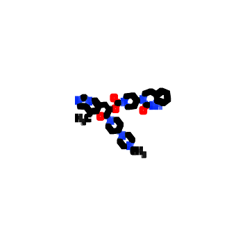 Cc1cc(C[C@@H](OC(=O)N2CCC(N3CCc4ccccc4NC3=O)CC2)C(=O)N2CCC(N3CCN(C)CC3)CC2)cn2cncc12